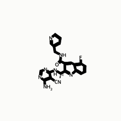 C[C@H](Nc1ncnc(N)c1C#N)c1nc2cccc(F)c2cc1C(=O)NCc1cccnc1